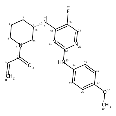 C=CC(=O)N1CCC[C@H](Nc2nc(Nc3ccc(OC)cc3)ncc2F)C1